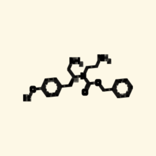 CCOc1ccc(C[C@@H](CN)N(CCN)C(=O)OCc2ccccc2)cc1